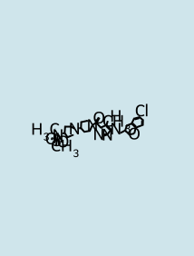 Cc1c(NCC2COc3ccc(Cl)cc3C2)ncnc1C(=O)N1CCC(N2CCC(N(C)S(C)(=O)=O)CC2)CC1